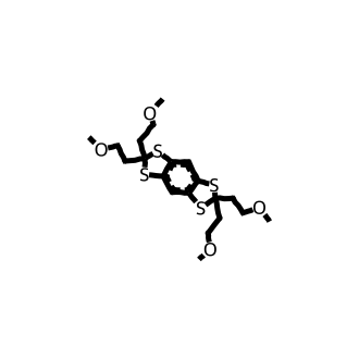 COCCC1(CCOC)Sc2cc3c(cc2S1)SC(CCOC)(CCOC)S3